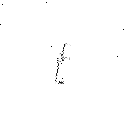 CCCCCCCCCCCCCCCCCCCCCC(=O)OC(CO)COC(=O)CCCCCCCCCCCCCCC